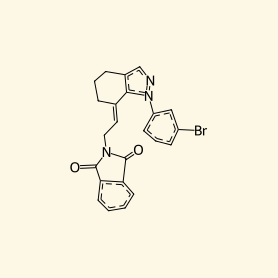 O=C1c2ccccc2C(=O)N1CC=C1CCCc2cnn(-c3cccc(Br)c3)c21